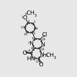 COc1ccc(-c2nc3c(=O)[nH]c(=O)n(C)c3nc2Cl)cc1